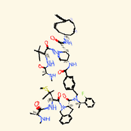 C=C1/C=C\C=C/C[C@H](NC(=O)[C@@H]2C[C@H](NC(=O)c3ccc(CN(C(=O)[C@@H]4Cc5ccccc5CN4C(=O)[C@@H](NC(=O)[C@H](C)NC)C(C)(C)SC)[C@H](C)c4ccccc4F)cc3)CN2C(=O)[C@@H](NC(=O)[C@H](C)NC)C(C)(C)C)CCC1